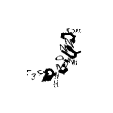 CC(=O)OC1CCN(c2ncc(NC(=O)n3ccc(Nc4ccc(C(F)(F)F)cc4)n3)cc2C)CC1